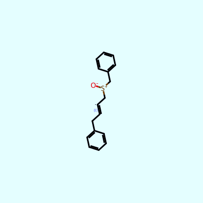 [O-][S+](C/[C]=C/Cc1ccccc1)Cc1ccccc1